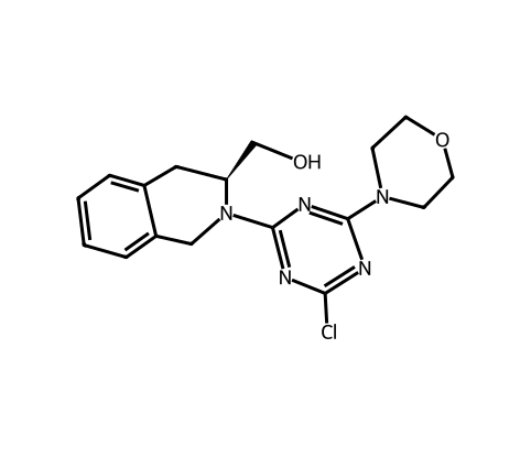 OC[C@@H]1Cc2ccccc2CN1c1nc(Cl)nc(N2CCOCC2)n1